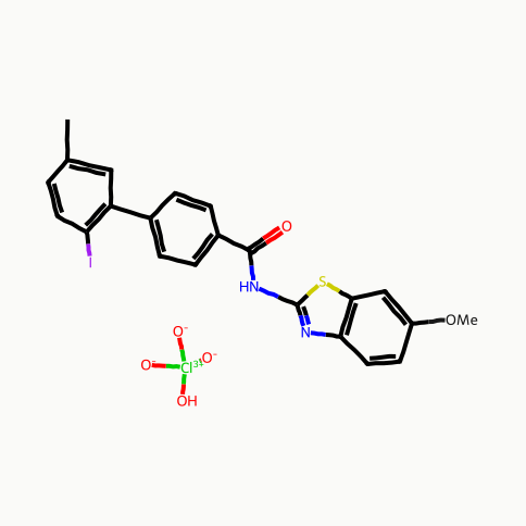 COc1ccc2nc(NC(=O)c3ccc(-c4cc(C)ccc4I)cc3)sc2c1.[O-][Cl+3]([O-])([O-])O